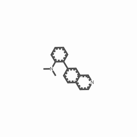 CN(C)c1ccccc1-c1ccc2ccncc2c1